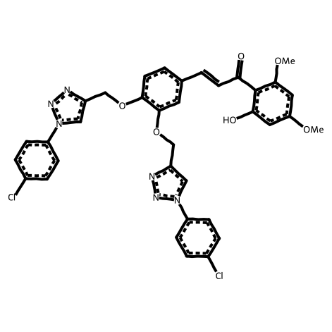 COc1cc(O)c(C(=O)/C=C/c2ccc(OCc3cn(-c4ccc(Cl)cc4)nn3)c(OCc3cn(-c4ccc(Cl)cc4)nn3)c2)c(OC)c1